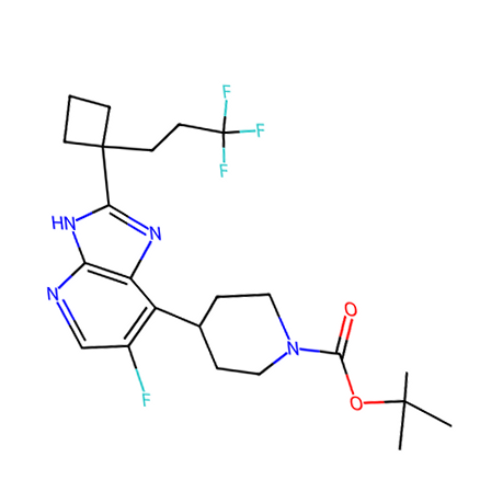 CC(C)(C)OC(=O)N1CCC(c2c(F)cnc3[nH]c(C4(CCC(F)(F)F)CCC4)nc23)CC1